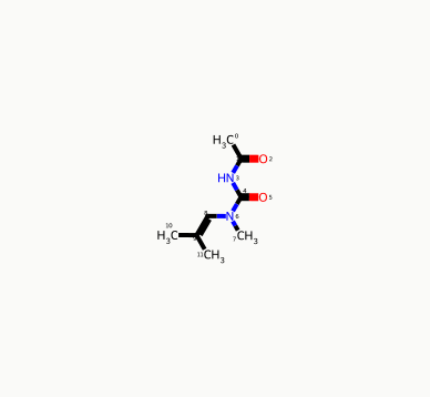 CC(=O)NC(=O)N(C)C=C(C)C